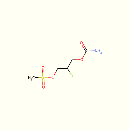 CS(=O)(=O)OCC(F)COC(N)=O